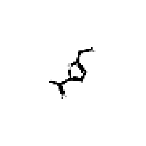 CC(=O)c1ccc(CCl)s1